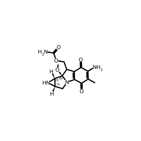 CO[C@@]12C(COC(N)=O)C3=C(C(=O)C(C)=C(N)C3=O)N1C[C@@H]1N[C@@H]12